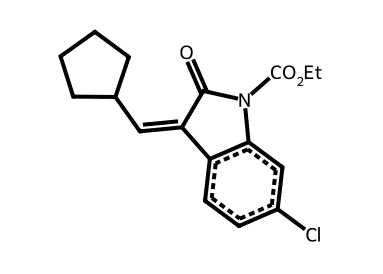 CCOC(=O)N1C(=O)C(=CC2CCCC2)c2ccc(Cl)cc21